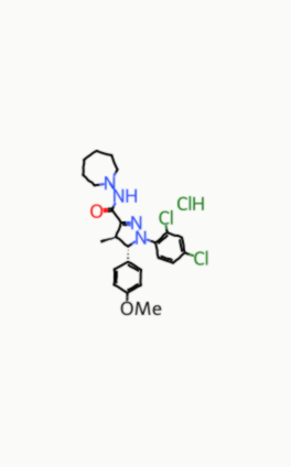 COc1ccc([C@@H]2[C@@H](C)C(C(=O)NN3CCCCCC3)=NN2c2ccc(Cl)cc2Cl)cc1.Cl